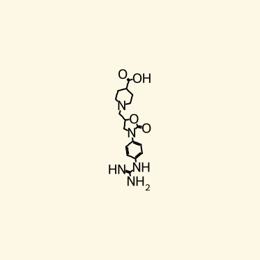 N=C(N)Nc1ccc(N2CC(CN3CCC(C(=O)O)CC3)OC2=O)cc1